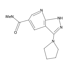 CNC(=O)c1cnc2[nH]nc(N3CCCC3)c2c1